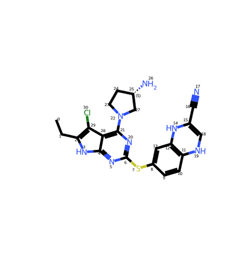 CCc1[nH]c2nc(Sc3ccc4c(c3)NC(C#N)=CN4)nc(N3CC[C@H](N)C3)c2c1Cl